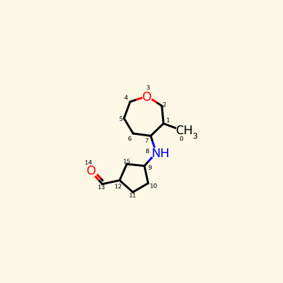 CC1COCCCC1NC1CCC(C=O)C1